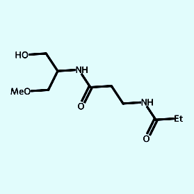 CCC(=O)NCCC(=O)NC(CO)COC